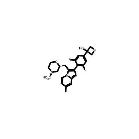 Cc1ccn2c(C[C@H]3CN(C(=O)O)CCO3)c(-c3c(F)cc(C4(O)COC4)cc3F)nc2c1